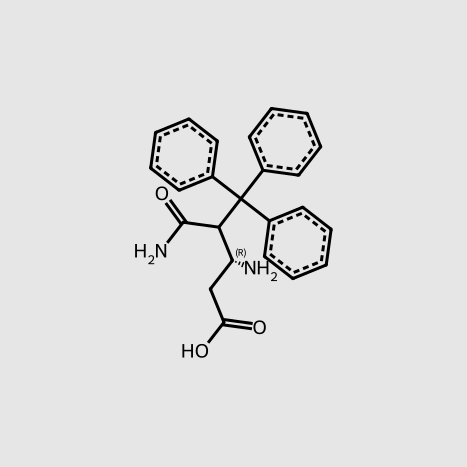 NC(=O)C([C@H](N)CC(=O)O)C(c1ccccc1)(c1ccccc1)c1ccccc1